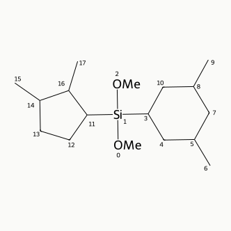 CO[Si](OC)(C1CC(C)CC(C)C1)C1CCC(C)C1C